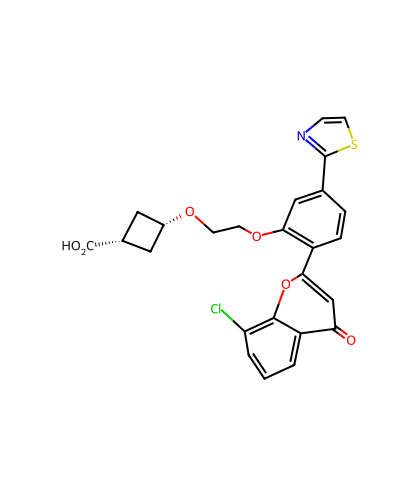 O=c1cc(-c2ccc(-c3nccs3)cc2OCCO[C@H]2C[C@@H](C(=O)O)C2)oc2c(Cl)cccc12